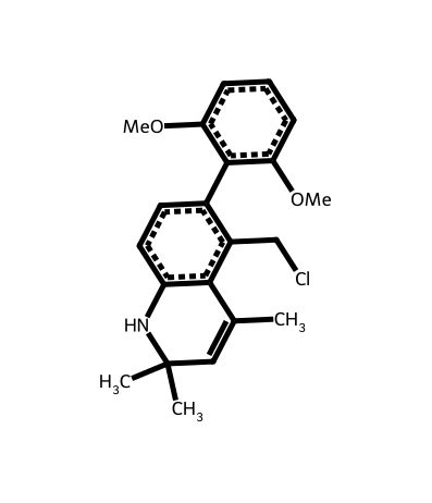 COc1cccc(OC)c1-c1ccc2c(c1CCl)C(C)=CC(C)(C)N2